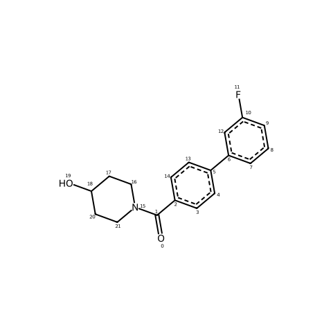 O=C(c1ccc(-c2cccc(F)c2)cc1)N1CCC(O)CC1